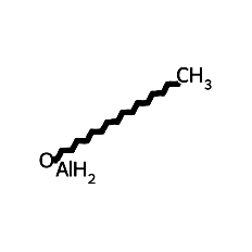 CCCCCCCCCCCCCCCCC[C](=O)[AlH2]